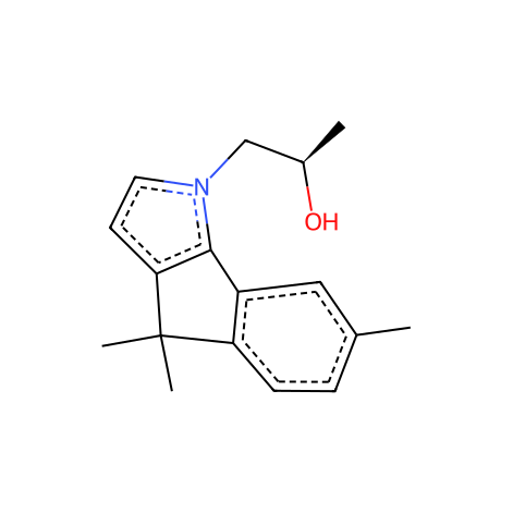 Cc1ccc2c(c1)-c1c(ccn1C[C@@H](C)O)C2(C)C